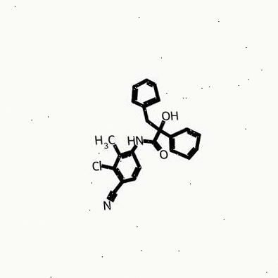 Cc1c(NC(=O)C(O)(Cc2ccccc2)c2ccccc2)ccc(C#N)c1Cl